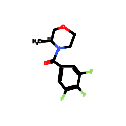 C[C@H]1COCCN1C(=O)c1cc(F)c(F)c(F)c1